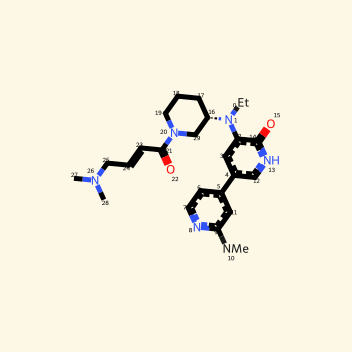 CCN(c1cc(-c2ccnc(NC)c2)c[nH]c1=O)[C@H]1CCCN(C(=O)/C=C/CN(C)C)C1